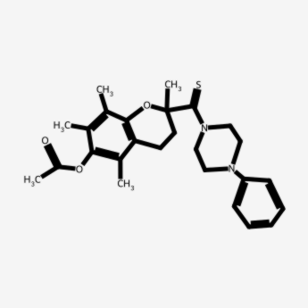 CC(=O)Oc1c(C)c(C)c2c(c1C)CCC(C)(C(=S)N1CCN(c3ccccc3)CC1)O2